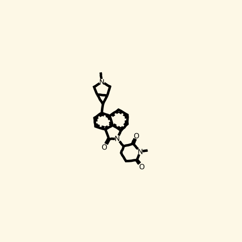 CN1CC2C(C1)C2c1ccc2c3c(cccc13)N(C1CCC(=O)N(C)C1=O)C2=O